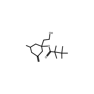 C=C1CC(C)CC(CCO)(OC(=O)C(C)(C)C(C)(C)C)C1